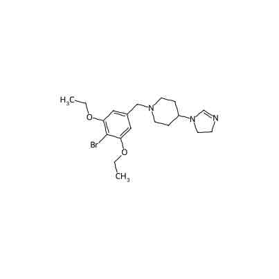 CCOc1cc(CN2CCC(N3C=NCC3)CC2)cc(OCC)c1Br